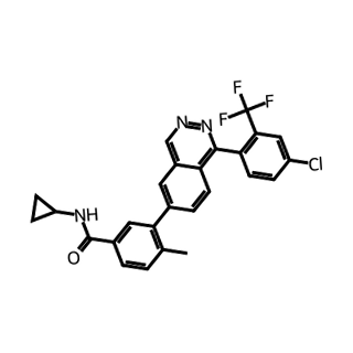 Cc1ccc(C(=O)NC2CC2)cc1-c1ccc2c(-c3ccc(Cl)cc3C(F)(F)F)nncc2c1